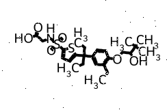 CCc1cc(C(CC)(CC)c2ccc(S(=O)(=O)NCC(=O)O)s2)ccc1OCC(O)C(C)(C)C